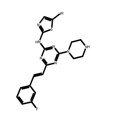 CC(C)c1cnc(Nc2nc(/C=C/c3cccc(F)c3)nc(N3CCNCC3)n2)s1